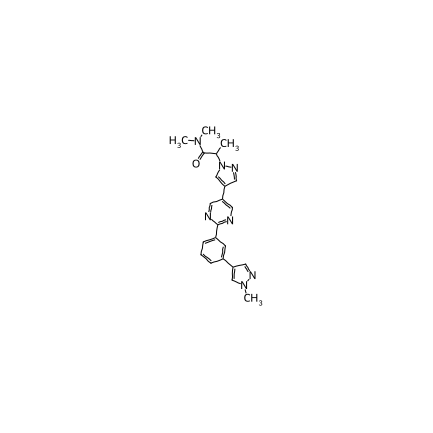 CC(C(=O)N(C)C)n1cc(-c2cnc(-c3cccc(-c4cnn(C)c4)c3)nc2)cn1